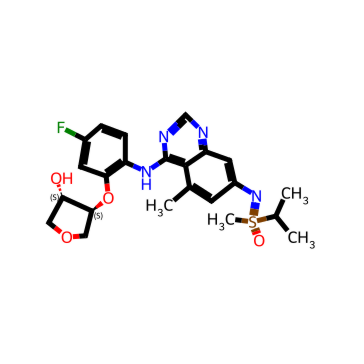 Cc1cc(N=S(C)(=O)C(C)C)cc2ncnc(Nc3ccc(F)cc3O[C@H]3COC[C@@H]3O)c12